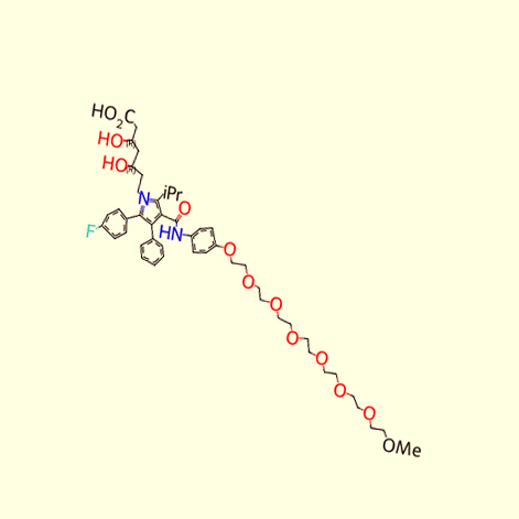 COCCOCCOCCOCCOCCOCCOCCOc1ccc(NC(=O)c2c(-c3ccccc3)c(-c3ccc(F)cc3)n(CC[C@@H](O)C[C@@H](O)CC(=O)O)c2C(C)C)cc1